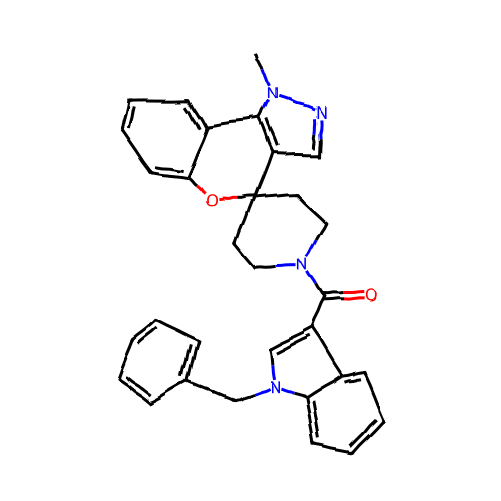 Cn1ncc2c1-c1ccccc1OC21CCN(C(=O)c2cn(Cc3ccccc3)c3ccccc23)CC1